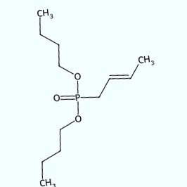 C/C=C/CP(=O)(OCCCC)OCCCC